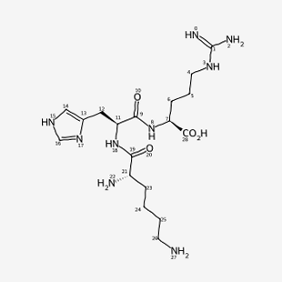 N=C(N)NCCC[C@H](NC(=O)[C@H](Cc1c[nH]cn1)NC(=O)[C@@H](N)CCCCN)C(=O)O